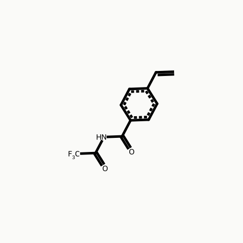 C=Cc1ccc(C(=O)NC(=O)C(F)(F)F)cc1